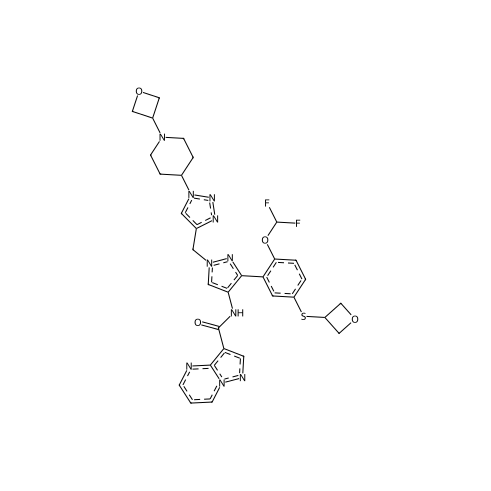 O=C(Nc1cn(Cc2cn(C3CCN(C4COC4)CC3)nn2)nc1-c1cc(SC2COC2)ccc1OC(F)F)c1cnn2cccnc12